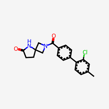 Cc1ccc(-c2ccc(C(=O)N3CC4(CCC(=O)N4)C3)cc2)c(Cl)c1